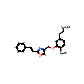 CCOC(=O)CCc1ccc(OC)c(OCc2coc(C=Cc3ccccc3)n2)c1